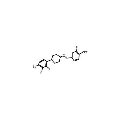 CCCc1ccc(COC2CCC(c3ccc(CC)c(F)c3F)CC2)cc1F